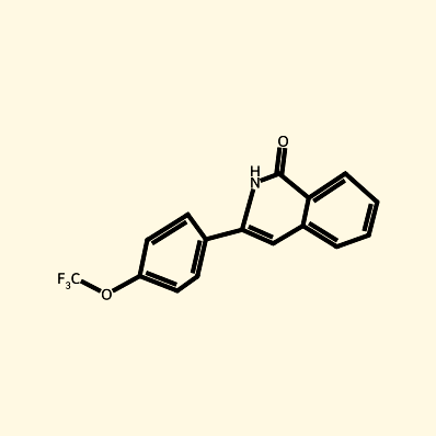 O=c1[nH]c(-c2ccc(OC(F)(F)F)cc2)cc2ccccc12